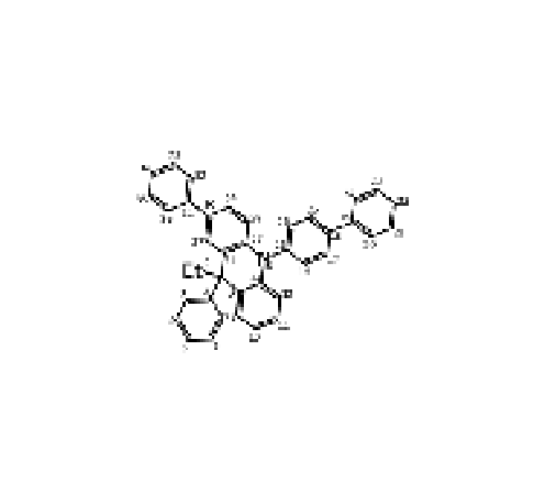 CCC1(c2ccccc2)c2ccccc2N(c2ccc(-c3ccccc3)cc2)c2ccc(-c3ccccc3)cc21